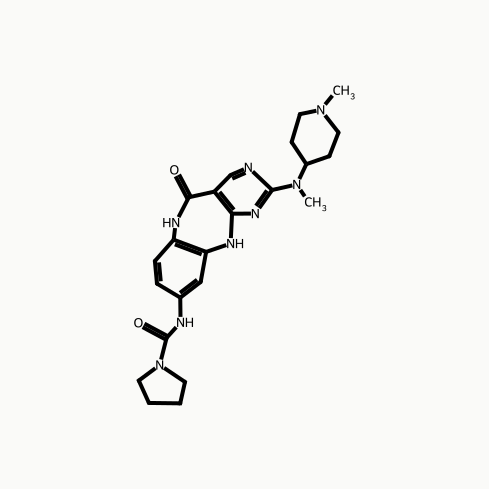 CN1CCC(N(C)c2ncc3c(n2)Nc2cc(NC(=O)N4CCCC4)ccc2NC3=O)CC1